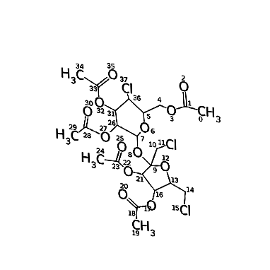 CC(=O)OCC1OC(OC2(CCl)OC(CCl)C(OC(C)=O)C2OC(C)=O)C(OC(C)=O)C(OC(C)=O)C1Cl